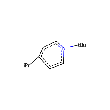 CC(C)c1cc[n+](C(C)(C)C)cc1